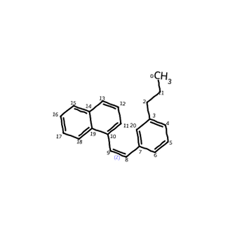 C[CH]Cc1cccc(/C=C\c2cccc3ccccc23)c1